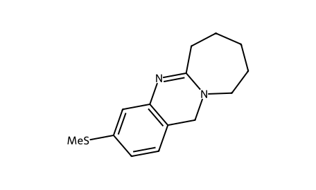 CSc1ccc2c(c1)N=C1CCCCCN1C2